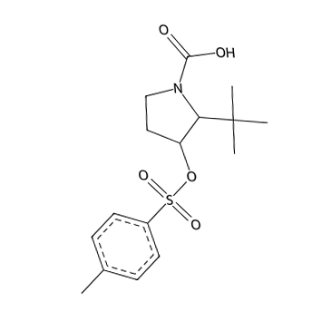 Cc1ccc(S(=O)(=O)OC2CCN(C(=O)O)C2C(C)(C)C)cc1